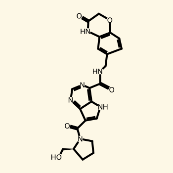 O=C1COc2ccc(CNC(=O)c3ncnc4c(C(=O)N5CCC[C@H]5CO)c[nH]c34)cc2N1